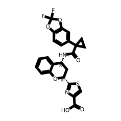 O=C(O)c1csc([C@H]2C[C@@H](NC(=O)C3(c4ccc5c(c4)OC(F)(F)O5)CC3)c3ccccc3O2)n1